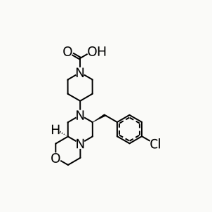 O=C(O)N1CCC(N2C[C@@H]3COCCN3C[C@@H]2Cc2ccc(Cl)cc2)CC1